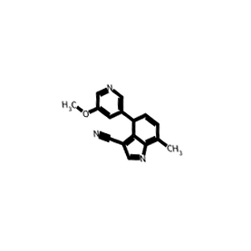 COc1cncc(C2C=CC(C)=C3N=CC(C#N)=C32)c1